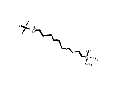 CCCCCCCCCCC[N+](C)(C)C.F[B-](F)(F)F